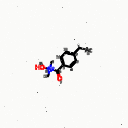 CC(=O)Cc1ccc(C(=O)[N+](C)(C)O)cc1